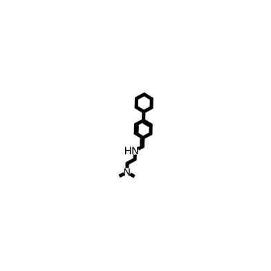 CN(C)CCNC=C1C=CC(C2CCCCC2)=CC1